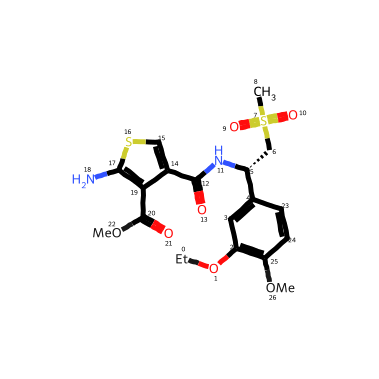 CCOc1cc([C@@H](CS(C)(=O)=O)NC(=O)c2csc(N)c2C(=O)OC)ccc1OC